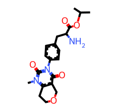 CC(C)OC(=O)C(N)Cc1ccc(-n2c(=O)c3c(n(C)c2=O)CCOC3)cc1